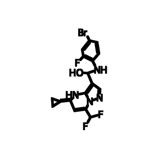 OC(Nc1ccc(Br)cc1F)c1cnn2c1NC(=C1CC1)C=C2C(F)F